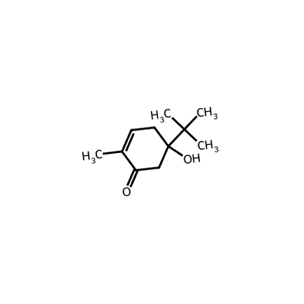 CC1=CCC(O)(C(C)(C)C)CC1=O